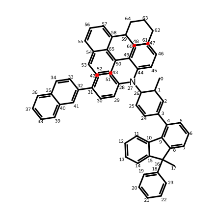 CC1C=C(c2cccc3c2-c2ccccc2C3(C)c2ccccc2)C=CC1N(c1ccc(-c2ccc3ccccc3c2)cc1)c1ccccc1-c1cccc2cccc(C3CCCCC3)c12